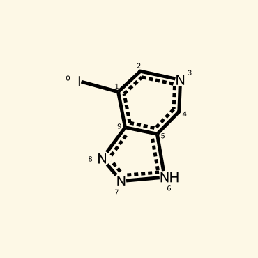 Ic1cncc2[nH]nnc12